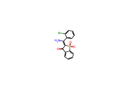 N/C(=C1\C(=O)c2ccccc2S1(=O)=O)c1ccccc1Br